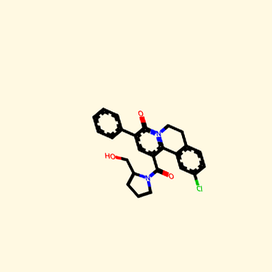 O=C(c1cc(-c2ccccc2)c(=O)n2c1-c1cc(Cl)ccc1CC2)N1CCCC1CO